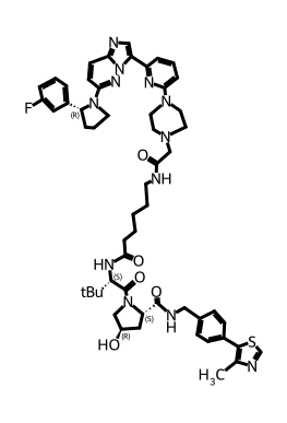 Cc1ncsc1-c1ccc(CNC(=O)[C@@H]2C[C@@H](O)CN2C(=O)[C@@H](NC(=O)CCCCCNC(=O)CN2CCN(c3cccc(-c4cnc5ccc(N6CCC[C@@H]6c6cccc(F)c6)nn45)n3)CC2)C(C)(C)C)cc1